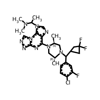 CC(N(C)C)n1cnc2c(N3C[C@@H](C)N(C(c4ccc(Cl)c(F)c4)C4CC(F)(F)C4)C[C@@H]3C)nc3nncn3c21